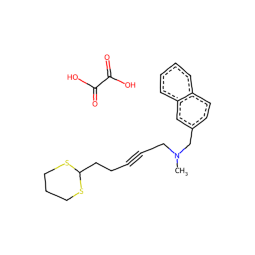 CN(CC#CCCC1SCCCS1)Cc1ccc2ccccc2c1.O=C(O)C(=O)O